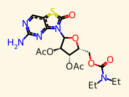 CCN(CC)C(=O)OC[C@H]1OC(n2c(=O)sc3cnc(N)nc32)[C@H](OC(C)=O)[C@H]1OC(C)=O